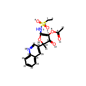 CCS(=O)(=O)NC1=C(OC(C)=O)C(=O)C(C)(c2cnc3ccccc3c2)O1